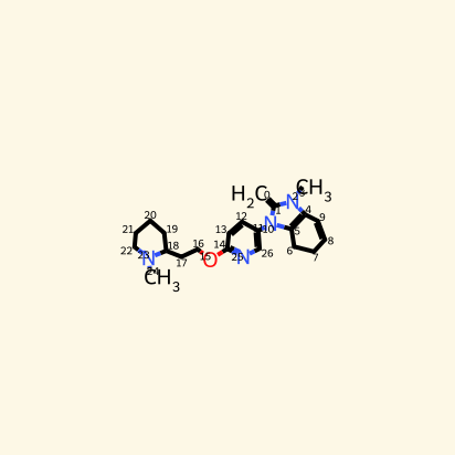 C=C1N(C)C2=C(CCC=C2)N1c1ccc(OCCC2CCCCN2C)nc1